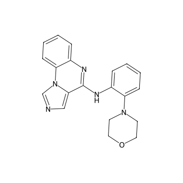 c1ccc(N2CCOCC2)c(Nc2nc3ccccc3n3cncc23)c1